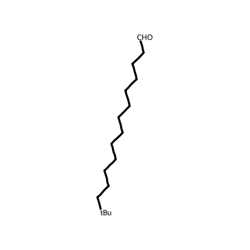 CC(C)(C)CCCCCCCCCCCCC=O